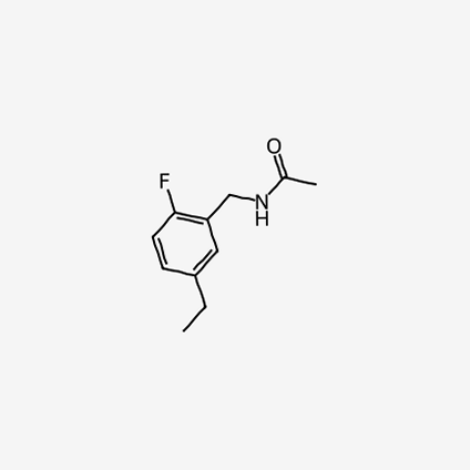 CCc1ccc(F)c(CNC(C)=O)c1